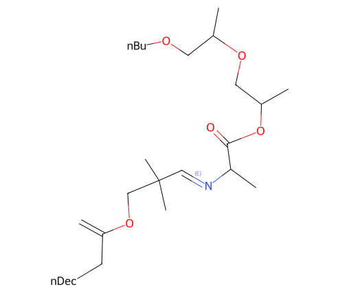 C=C(CCCCCCCCCCC)OCC(C)(C)/C=N/C(C)C(=O)OC(C)COC(C)COCCCC